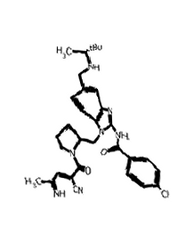 CC(=N)/C=C(\C#N)C(=O)N1CCCC1Cn1c(NC(=O)c2ccc(Cl)cc2)nc2cc(CN[C@@H](C)C(C)(C)C)ccc21